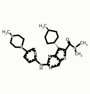 CN1CCN(c2ccc(Nc3ncc4sc(C(=O)N(C)C)c([C@H]5CC[C@H](C)CC5)c4n3)nc2)CC1